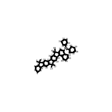 CC1(C)c2ccccc2-c2cc3c(cc21)-c1cc2c(cc1C3(C)C)-c1c(cc(N(c3ccccc3)c3ccccc3)c3ccccc13)C2(C)C